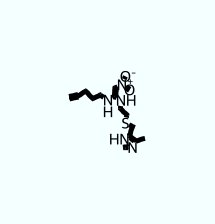 C#CCCCN/C(=C/[N+](=O)[O-])NCCSCc1[nH]cnc1C